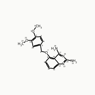 COc1ccc(COc2cccc3nc(N)nc(N)c23)cc1OC